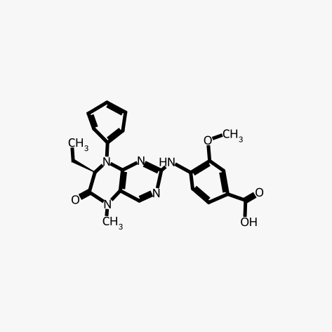 CC[C@@H]1C(=O)N(C)c2cnc(Nc3ccc(C(=O)O)cc3OC)nc2N1c1ccccc1